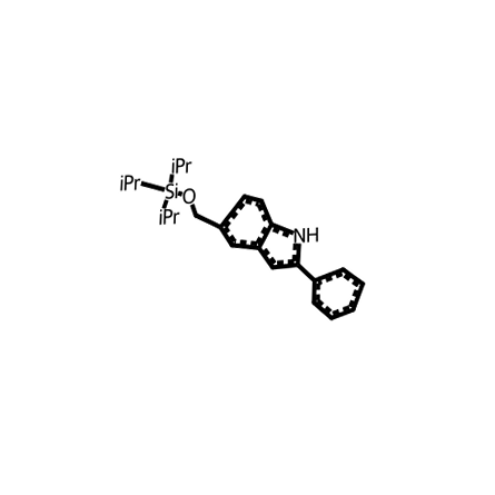 CC(C)[Si](OCc1ccc2[nH]c(-c3ccccc3)cc2c1)(C(C)C)C(C)C